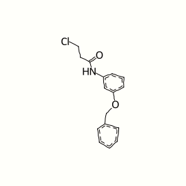 O=C(CCCl)Nc1cccc(OCc2ccccc2)c1